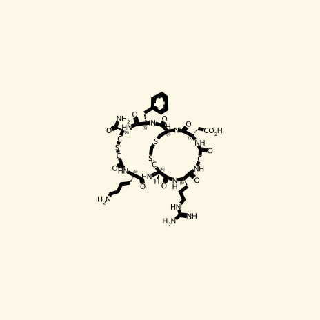 N=C(N)NCCC[C@@H]1NC(=O)[C@@H]2CSCSC[C@H](NC(=O)[C@H](CC(=O)O)NC(=O)CNC1=O)C(=O)N[C@@H](Cc1ccccc1)C(=O)N[C@H](C(N)=O)CSCC(=O)N[C@@H](CCCCN)C(=O)N2